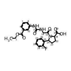 CCOC(=O)c1cccc(NC(=O)NCC(=O)N2C(C(=O)O)CCC2c2ccccc2F)c1